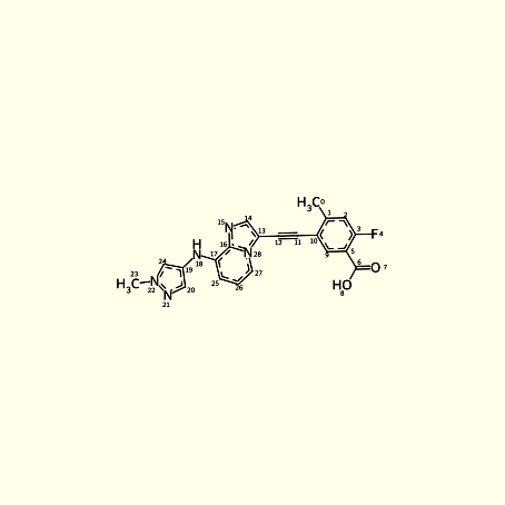 Cc1cc(F)c(C(=O)O)cc1C#Cc1cnc2c(Nc3cnn(C)c3)cccn12